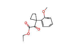 CCOC(=O)C(=O)C1(c2ccccc2OC)CCC1